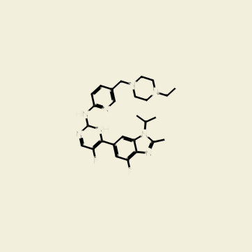 CCN1CCN(Cc2ccc(NC3N=CC(F)=C(c4cc(F)c5nc(C)n(C(C)C)c5c4)N3)nc2)CC1